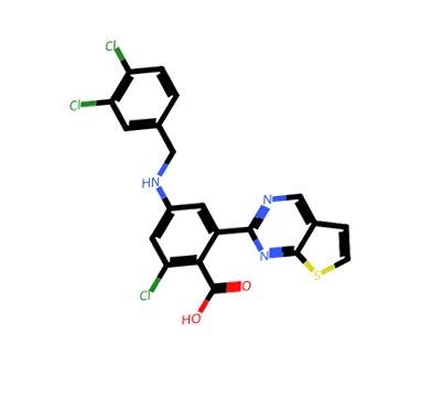 O=C(O)c1c(Cl)cc(NCc2ccc(Cl)c(Cl)c2)cc1-c1ncc2ccsc2n1